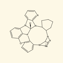 C[C@H]1N2N=NN1C1CCCCC1N1c3ncccc3N3c4cccc5c4P(c4c(cccc42)O5)[C@H]31